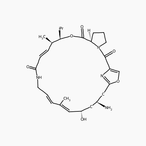 CC1=C\[C@@H](O)C[C@H](N)Cc2nc(co2)C(=O)N2CCC[C@@H]2C(=O)O[C@H](C(C)C)[C@H](C)/C=C/C(=O)NC\C=C\1